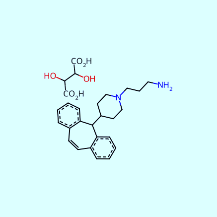 NCCCN1CCC(C2c3ccccc3C=Cc3ccccc32)CC1.O=C(O)C(O)C(O)C(=O)O